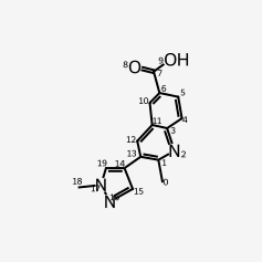 Cc1nc2ccc(C(=O)O)cc2cc1-c1cnn(C)c1